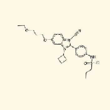 CCCS(=O)(=O)Nc1ccc(-c2c(C#N)c3ccc(OCCCOCC)cc3n2C2CCC2)cc1